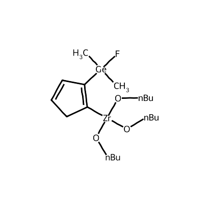 CCCC[O][Zr]([O]CCCC)([O]CCCC)[C]1=[C]([Ge]([CH3])([CH3])[F])C=CC1